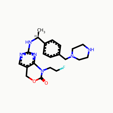 C[C@H](Nc1ncc2c(n1)N(CCF)C(=O)OC2)c1ccc(CN2CCNCC2)cc1